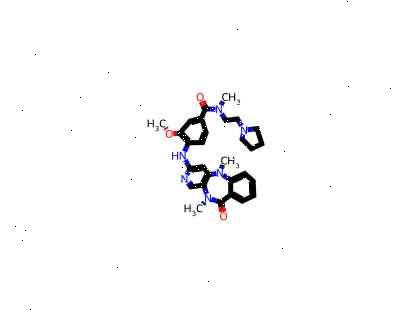 COc1cc(C(=O)N(C)CCN2CCCC2)ccc1Nc1cc2c(cn1)N(C)C(=O)c1ccccc1N2C